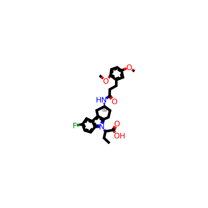 CCC(C(=O)O)n1c2c(c3cc(F)ccc31)C[C@@H](NC(=O)CCc1cc(OC)ccc1OC)CC2